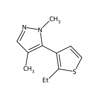 CCc1sccc1-c1c(C)cnn1C